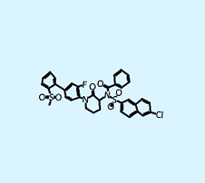 CS(=O)(=O)c1ccccc1-c1ccc(N2CCCC(N(C(=O)c3ccccc3)S(=O)(=O)c3ccc4cc(Cl)ccc4c3)C2=O)c(F)c1